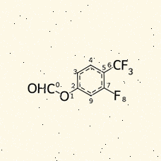 O=COc1ccc(C(F)(F)F)c(F)c1